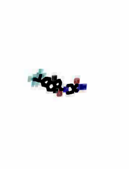 O=C([C@@H]1CC[C@H]2c3ccc(C(F)(C(F)(F)F)C(F)(F)F)cc3CC[C@@H]12)N1CCC2(CC1)CNC2=O